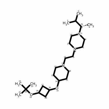 CC(C)[C@H](C)N1CCN(CCN2CCC(OC3CC(OC(C)(C)C)C3)CC2)CC1